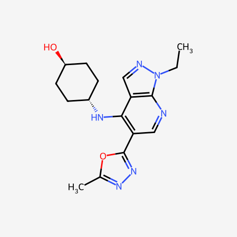 CCn1ncc2c(N[C@H]3CC[C@H](O)CC3)c(-c3nnc(C)o3)cnc21